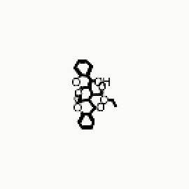 CCOC(=O)C(c1c(O)c2ccccc2oc1=O)C1C(=O)Oc2ccccc2C1=O